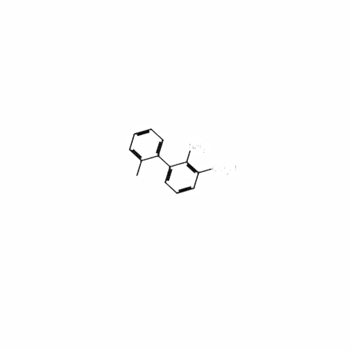 Cc1ccccc1-c1cccc(C(=O)O)c1N